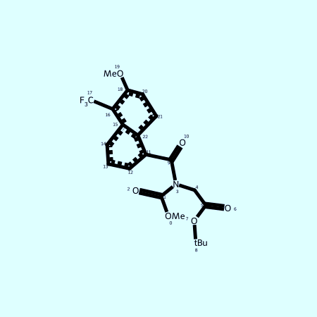 COC(=O)N(CC(=O)OC(C)(C)C)C(=O)c1cccc2c(C(F)(F)F)c(OC)ccc12